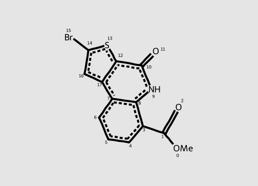 COC(=O)c1cccc2c1[nH]c(=O)c1sc(Br)cc12